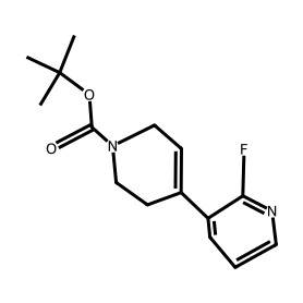 CC(C)(C)OC(=O)N1CC=C(c2cccnc2F)CC1